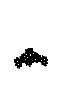 O=P(c1ccccc1)(c1cc(-c2ccccc2)c2ccc3nc(-c4cccc5ccccc45)nc4ccc1c2c34)c1cc(-c2ccccc2)c2ccc3nc(-c4cccc5ccccc45)nc4ccc1c2c34